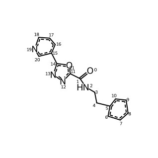 O=C(NCCc1ccccc1)c1nnc(-c2cccnc2)o1